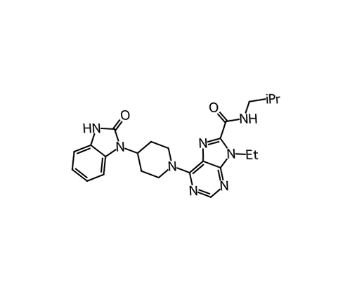 CCn1c(C(=O)NCC(C)C)nc2c(N3CCC(n4c(=O)[nH]c5ccccc54)CC3)ncnc21